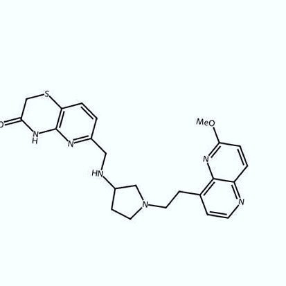 COc1ccc2nccc(CCN3CCC(NCc4ccc5c(n4)NC(=O)CS5)C3)c2n1